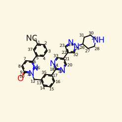 N#Cc1cccc(-c2ccc(=O)n(Cc3cccc(-c4ncc(-c5cnn(C6CCNCC6)c5)cn4)c3)n2)c1